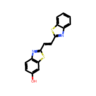 Oc1ccc2nc(C=Cc3nc4ccccc4s3)sc2c1